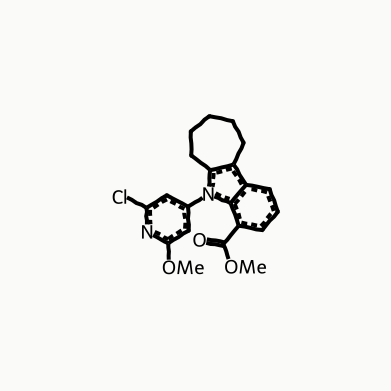 COC(=O)c1cccc2c3c(n(-c4cc(Cl)nc(OC)c4)c12)CCCCC3